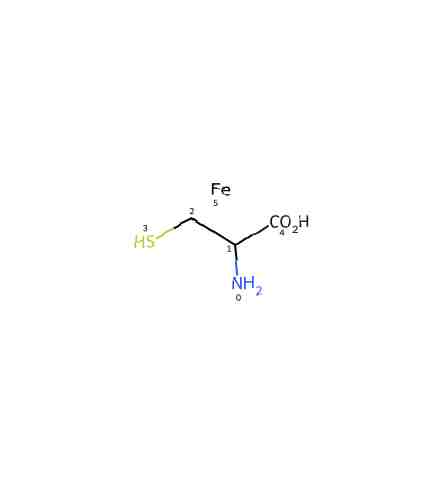 NC(CS)C(=O)O.[Fe]